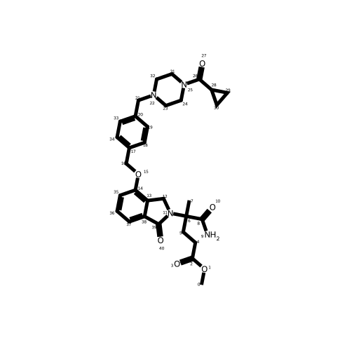 COC(=O)CCC(C)(C(N)=O)N1Cc2c(OCc3ccc(CN4CCN(C(=O)C5CC5)CC4)cc3)cccc2C1=O